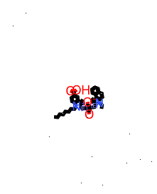 CCCCCCCC[N+]1=C(/C=C2/C(=O)C(/C=C3/N(CC)c4ccc5ccccc5c4C3(C)C)=C2[O-])C(C)(C)c2cc(C(=O)O)ccc21